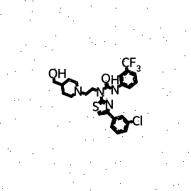 O=C(Nc1cccc(C(F)(F)F)c1)N(CCN1CCC(CO)CC1)c1nc(-c2cccc(Cl)c2)cs1